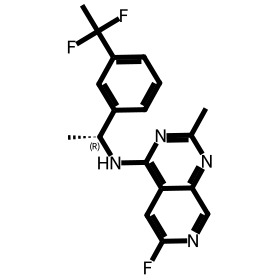 Cc1nc(N[C@H](C)c2cccc(C(C)(F)F)c2)c2cc(F)ncc2n1